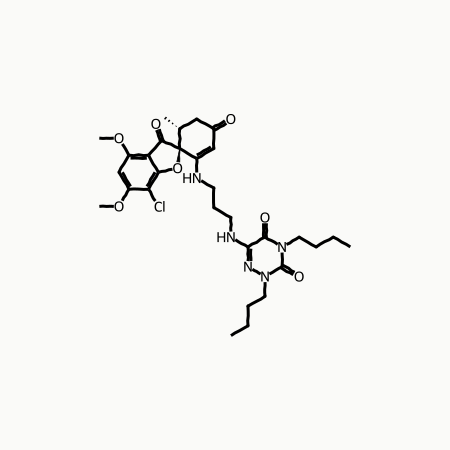 CCCCn1nc(NCCCNC2=CC(=O)C[C@@H](C)[C@]23Oc2c(Cl)c(OC)cc(OC)c2C3=O)c(=O)n(CCCC)c1=O